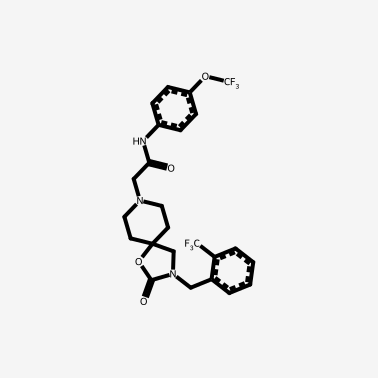 O=C(CN1CCC2(CC1)CN(Cc1ccccc1C(F)(F)F)C(=O)O2)Nc1ccc(OC(F)(F)F)cc1